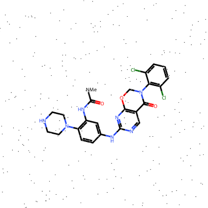 CNC(=O)Nc1cc(Nc2ncc3c(n2)OCN(c2c(Cl)cccc2Cl)C3=O)ccc1N1CCNCC1